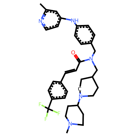 Cc1cc(Nc2ccc(CN(CC3CCN(C4CCN(C)CC4)CC3)C(=O)C=Cc3ccc(C(F)(F)F)cc3)cc2)ccn1